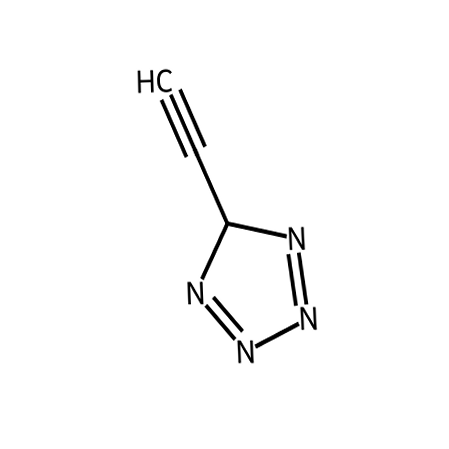 C#CC1N=NN=N1